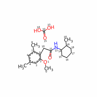 COc1cc(C)cc(C)c1CC(=O)NC1CCCCC1C.O=C(O)O